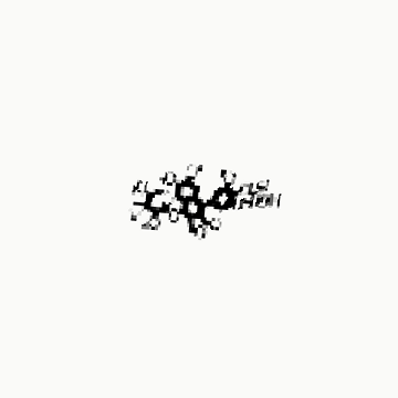 COc1cc2c(OC3OCC(OC)C(OC)C3OC)c3c(c(-c4ccc(OP(=O)(O)O)c(OC)c4)c2cc1OC)C(=O)OC3